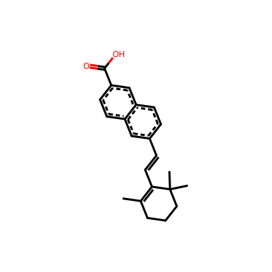 CC1=C(C=Cc2ccc3cc(C(=O)O)ccc3c2)C(C)(C)CCC1